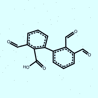 O=Cc1cccc(-c2cccc(C=O)c2C(=O)O)c1C=O